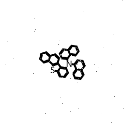 c1ccc2c(N(c3cccc4ccccc34)c3cccc4sc5c6ccccc6ccc5c34)cccc2c1